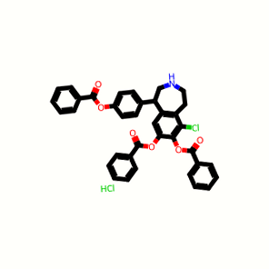 Cl.O=C(Oc1ccc(C2CNCCc3c2cc(OC(=O)c2ccccc2)c(OC(=O)c2ccccc2)c3Cl)cc1)c1ccccc1